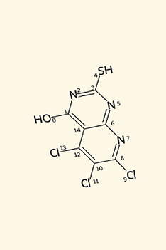 Oc1nc(S)nc2nc(Cl)c(Cl)c(Cl)c12